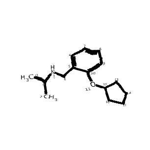 CC(C)NCc1ccccc1OC1CCCC1